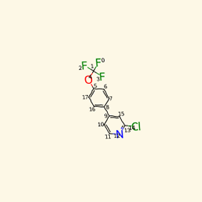 FC(F)(F)Oc1ccc(-c2ccnc(Cl)c2)cc1